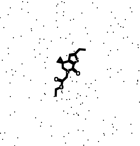 CCOC(=O)CN1CC2(CC2)c2cc(CC)sc2C1=O